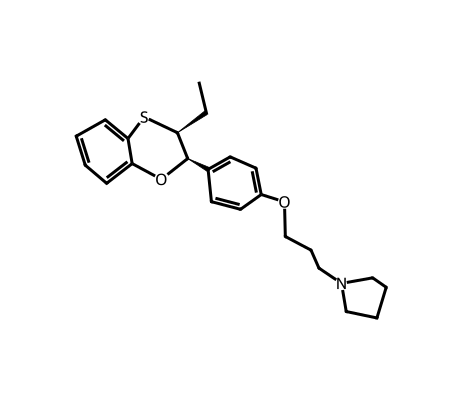 CC[C@@H]1Sc2ccccc2O[C@@H]1c1ccc(OCCCN2CCCC2)cc1